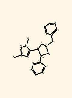 Cc1cc(C2CN(Cc3ccccc3)CC2c2ccccc2)n(C)n1